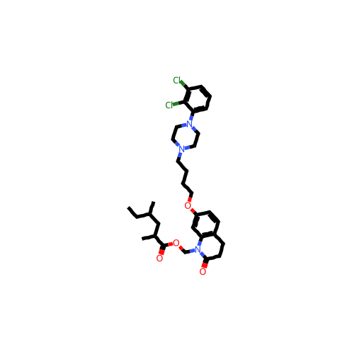 CCC(C)CC(C)C(=O)OCN1C(=O)CCc2ccc(OCCCCN3CCN(c4cccc(Cl)c4Cl)CC3)cc21